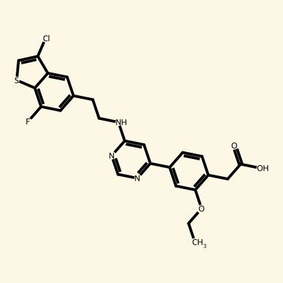 CCOc1cc(-c2cc(NCCc3cc(F)c4scc(Cl)c4c3)ncn2)ccc1CC(=O)O